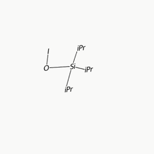 CC(C)[Si](OI)(C(C)C)C(C)C